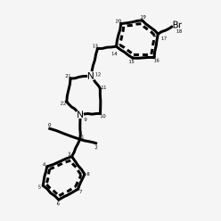 CC(C)(c1ccccc1)N1CCN(Cc2ccc(Br)cc2)CC1